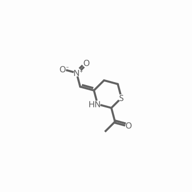 CC(=O)C1NC(=C[N+](=O)[O-])CCS1